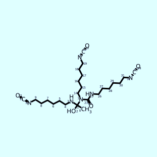 CC(O)(NCCCCCCN=C=O)N(CCCCCCN=C=O)C(=O)NCCCCCCN=C=O